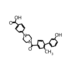 Cc1cc(C(=O)N2CCN(c3ccc(C(=O)O)cc3)CC2)ccc1-c1cccc(O)c1